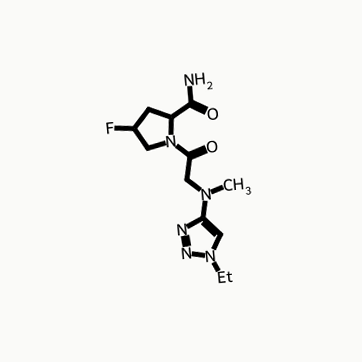 CCn1cc(N(C)CC(=O)N2CC(F)CC2C(N)=O)nn1